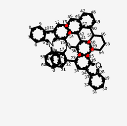 c1ccc(-n2c3ccccc3c3cccc(N(c4ccccc4-c4ccc5oc6ccccc6c5c4)c4ccccc4-c4cccc5cccc(C6CCCCC6)c45)c32)cc1